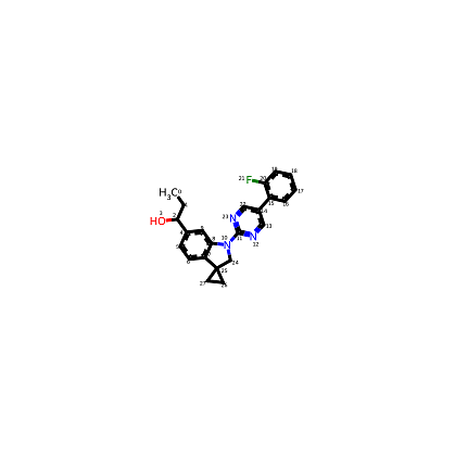 CCC(O)c1ccc2c(c1)N(c1ncc(-c3ccccc3F)cn1)CC21CC1